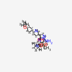 [2H]C([2H])([2H])Oc1ccc(-c2ccc(-c3cnn4c(N)c(S(C)(=O)=O)c([C@H]5C[C@H]6CC[C@@H](C5)N6C(=O)CO)nc34)cn2)cc1